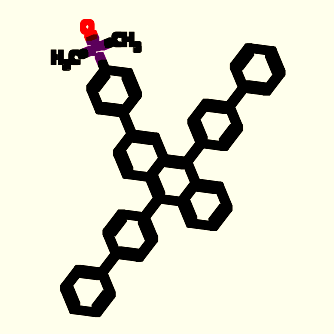 CP(C)(=O)c1ccc(-c2ccc3c(-c4ccc(-c5ccccc5)cc4)c4ccccc4c(-c4ccc(-c5ccccc5)cc4)c3c2)cc1